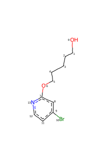 OCCCCCOc1cc(Br)ccn1